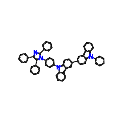 c1ccc(-c2nc(-c3ccccc3)n(-c3ccc(-n4c5ccccc5c5cc(-c6ccc7c(c6)c6ccccc6n7-c6ccccc6)ccc54)cc3)c2-c2ccccc2)cc1